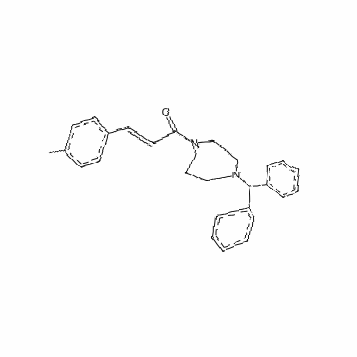 Cc1ccc(C=CC(=O)N2CCN(C(c3ccccc3)c3ccccc3)CC2)cc1